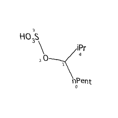 CCCCCC(OS(=O)(=O)O)C(C)C